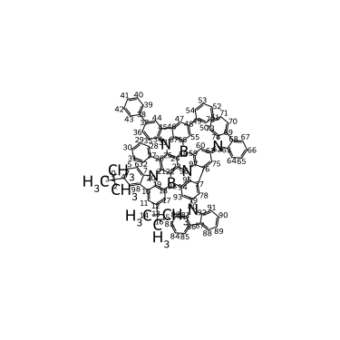 CC(C)(C)c1ccc2c(c1)c1cc(C(C)(C)C)cc3c1n2-c1c2c4c5c(c1-c1ccccc1)-n1c6ccc(-c7ccccc7)cc6c6cc(-c7ccccc7)cc(c61)B5c1cc(-n5c6ccccc6c6ccccc65)cc5c6cc(-n7c8ccccc8c8ccccc87)cc(c6n-4c15)B23